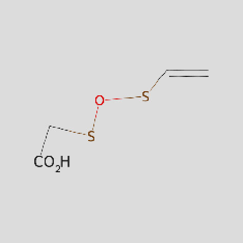 C=CSOSCC(=O)O